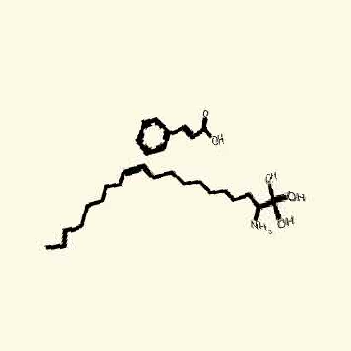 CCCCCCCC/C=C\CCCCCCCCC(N)C(O)(O)O.O=C(O)/C=C/c1ccccc1